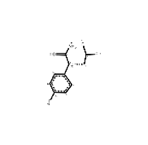 NC(=O)[C@H](CC(F)F)c1ccc(F)cc1